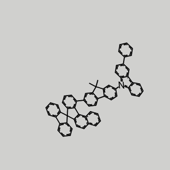 CC1(C)c2cc(-c3cccc4c3-c3c(ccc5ccccc35)C43c4ccccc4-c4ccccc43)ccc2-c2ccc(-n3c4ccccc4c4cc(-c5ccccc5)ccc43)cc21